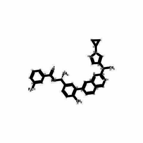 Cc1ccc([C@@H](C)NC(=O)c2cccc(C(F)(F)F)c2)cc1-c1ccc2cnc(N(C)c3cnn(C4CC4)c3)nc2c1